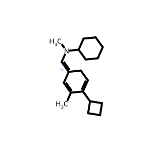 CC1=C/C(=C/N(C)C2CCCCC2)CC=C1C1CCC1